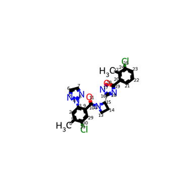 Cc1cc(-n2nccn2)c(C(=O)N2CC[C@H]2c2noc(-c3cccc(Cl)c3C)n2)cc1Cl